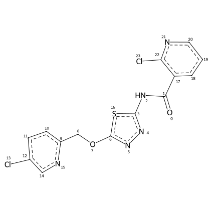 O=C(Nc1nnc(OCc2ccc(Cl)cn2)s1)c1cccnc1Cl